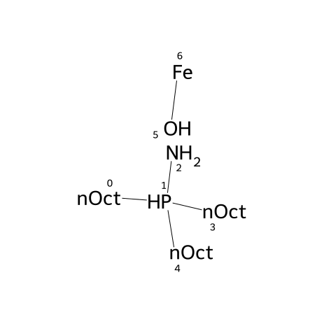 CCCCCCCC[PH](N)(CCCCCCCC)CCCCCCCC.[OH][Fe]